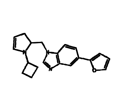 C1=CN(C2CCC2)C(Cn2cnc3cc(-c4ccco4)ccc32)C1